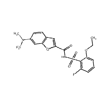 CCOc1cccc(F)c1S(=O)(=O)NC(=O)c1cc2ccc(N(C)C)cc2o1